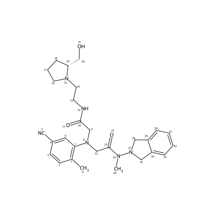 Cc1ccc(C#N)cc1N(CC(=O)NCCN1CCC[C@@H]1CO)CC(=O)N(C)N1Cc2ccccc2C1